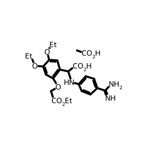 CC(=O)O.CCOC(=O)COc1cc(OCC)c(OCC)cc1C(Nc1ccc(C(=N)N)cc1)C(=O)O